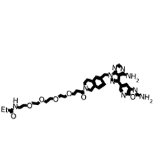 CCC(=O)NCCOCCOCCOCCOCCC(=O)N1CCc2cc(Cn3nc(-c4cnc5oc(N)nc5c4)c4c(N)ncnc43)ccc2C1